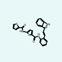 O=C(Nc1ccc(C(=O)Nc2ccccc2C=Cc2n[nH]c3ccccc23)s1)c1cccs1